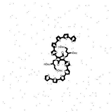 CCCCCCCCCCCCC(CCCCCCCCCC)CN1C(=O)C2=C(c3ncc(-c4ccc(-c5ccc(-c6ccc(-c7cccs7)s6)s5)s4)s3)N(CC(CCCCCCCCCC)CCCCCCCCCCCC)C(=O)C2=C1c1ncc(C2=CCC(C3CC=C(C4=CCC(C5CC=CS5)S4)S3)S2)s1